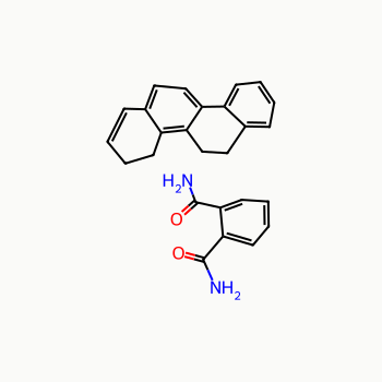 C1=Cc2ccc3c(c2CC1)CCc1ccccc1-3.NC(=O)c1ccccc1C(N)=O